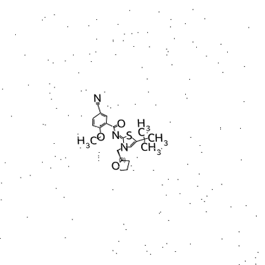 COc1ccc(C#N)cc1C(=O)N=c1sc(C(C)(C)C)cn1C[C@H]1CCCO1